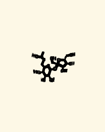 CC(O)OC[C@H]1O[C@H](O[C@]2(CO)O[C@H](CO)[C@@H](O)[C@@H]2O)[C@H](O)[C@@H](O)[C@@H]1O